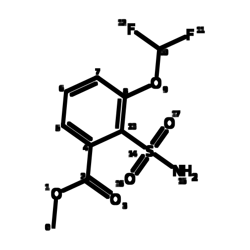 COC(=O)c1cccc(OC(F)F)c1S(N)(=O)=O